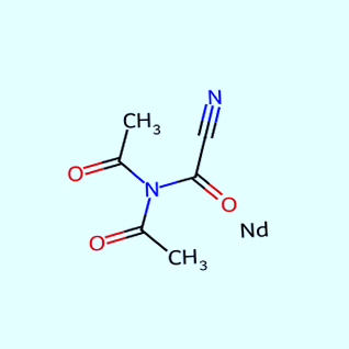 CC(=O)N(C(C)=O)C(=O)C#N.[Nd]